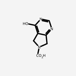 O=C(O)N1Cc2ncnc(O)c2C1